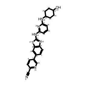 N#Cc1ccc(-c2ccc3nc(Nc4cccc(NC5CCC(O)CC5)n4)sc3c2)cn1